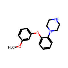 COc1cccc(Oc2ccccc2N2CCNCC2)c1